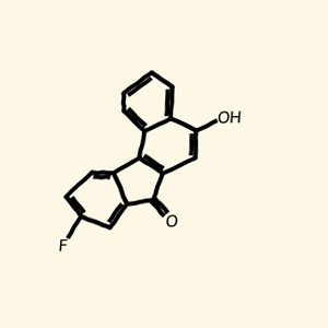 O=C1c2cc(F)ccc2-c2c1cc(O)c1ccccc21